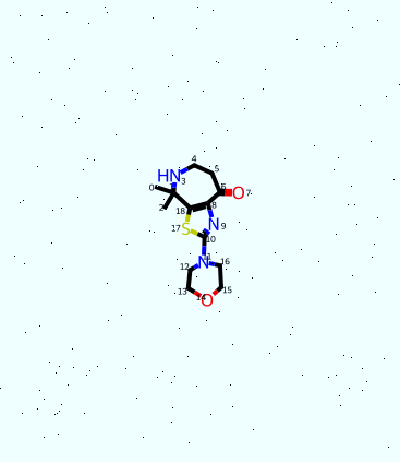 CC1(C)NCCC(=O)c2nc(N3CCOCC3)sc21